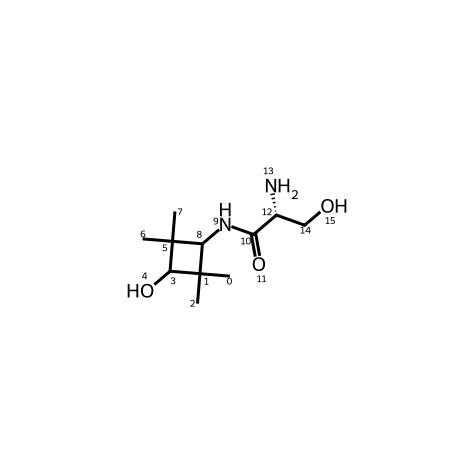 CC1(C)C(O)C(C)(C)C1NC(=O)[C@H](N)CO